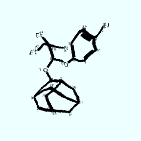 CCC(C)c1ccc(OC(OC2C3CC4CC(C3)CC2C4)C(CC)(CC)CC)cc1